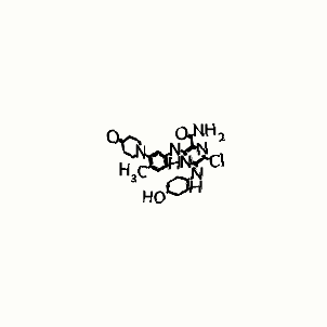 Cc1ccc(Nc2nc(N[C@H]3CC[C@H](O)CC3)c(Cl)nc2C(N)=O)cc1N1CCC(=O)CC1